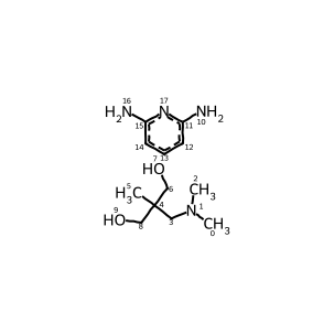 CN(C)CC(C)(CO)CO.Nc1cccc(N)n1